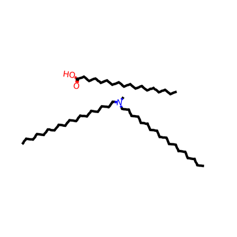 CCCCCCCCCCCCCCCCCC(=O)O.CCCCCCCCCCCCCCCCCCN(C)CCCCCCCCCCCCCCCCCC